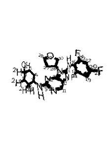 [2H]C1C([2H])(O)CCC(Nc2ncc3nc(Nc4c(F)cc(F)cc4F)n(C4CCOC4)c3n2)C1([2H])[2H]